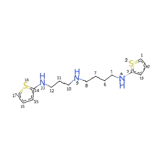 c1csc(NCCCCNCCCNc2cccs2)c1